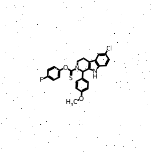 COc1ccc(C2c3[nH]c4ccc(Cl)cc4c3CCN2C(=S)Oc2ccc(F)cc2)cc1